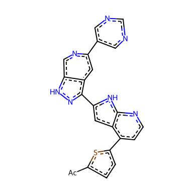 CC(=O)c1ccc(-c2ccnc3[nH]c(-c4n[nH]c5cnc(-c6cncnc6)cc45)cc23)s1